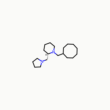 C1CCCC(CN2CCCC[C@H]2CN2CCCC2)CCC1